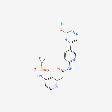 CCOc1cncc(-c2ccc(NC(=O)Cc3cc(NS(=O)(=O)C4CC4)ccn3)nc2)n1